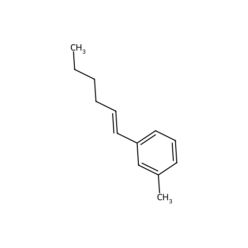 CCCCC=Cc1cccc(C)c1